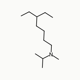 CCC(CC)CCCCN(C)C(C)C